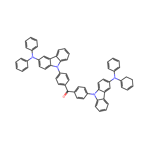 O=C(c1ccc(-n2c3ccccc3c3cc(N(C4=CC=CCC4)c4ccccc4)ccc32)cc1)c1ccc(-n2c3ccccc3c3cc(N(c4ccccc4)c4ccccc4)ccc32)cc1